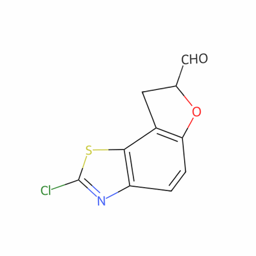 O=CC1Cc2c(ccc3nc(Cl)sc23)O1